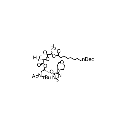 CCCCCCCCCCCCCCCCCC(=O)OC(C)C(=O)OC(C)C(=O)O[C@H](COc1nsnc1N1CCOCC1)CN(C(C)=O)C(C)(C)C